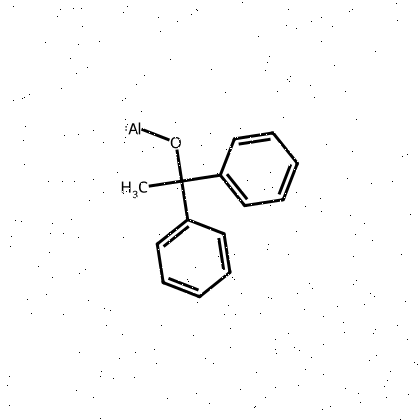 CC([O][Al])(c1ccccc1)c1ccccc1